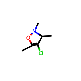 CC1=C(Cl)C(C)N(C)O1